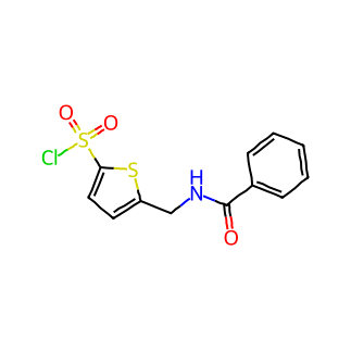 O=C(NCc1ccc(S(=O)(=O)Cl)s1)c1ccccc1